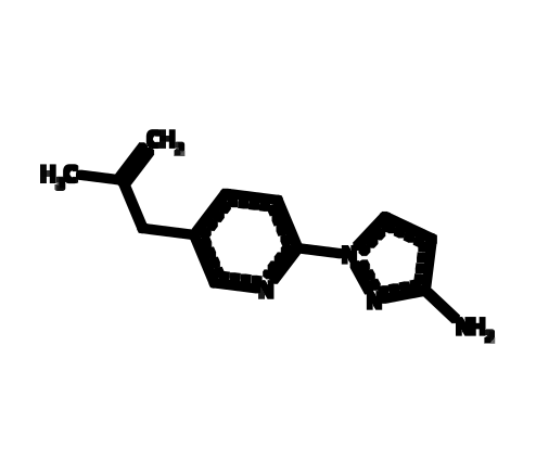 C=C(C)Cc1ccc(-n2ccc(N)n2)nc1